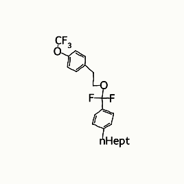 CCCCCCCc1ccc(C(F)(F)OCCc2ccc(OC(F)(F)F)cc2)cc1